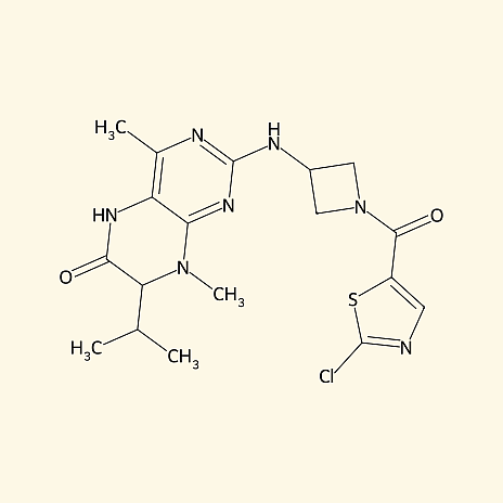 Cc1nc(NC2CN(C(=O)c3cnc(Cl)s3)C2)nc2c1NC(=O)C(C(C)C)N2C